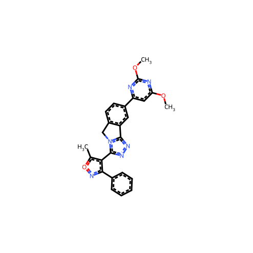 COc1cc(-c2ccc3c(c2)-c2nnc(-c4c(-c5ccccc5)noc4C)n2C3)nc(OC)n1